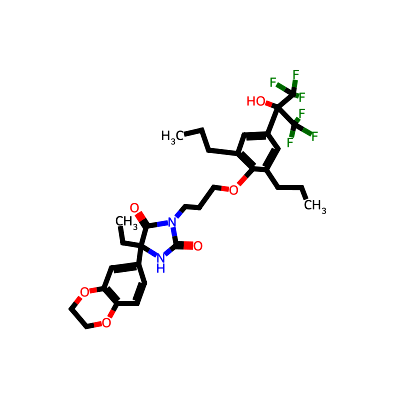 CCCc1cc(C(O)(C(F)(F)F)C(F)(F)F)cc(CCC)c1OCCCN1C(=O)NC(CC)(c2ccc3c(c2)OCCO3)C1=O